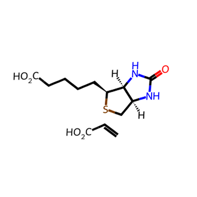 C=CC(=O)O.O=C(O)CCCC[C@@H]1SC[C@@H]2NC(=O)N[C@@H]21